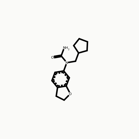 NC(=O)N(CC1CCCC1)c1ccc2c(c1)OCC2